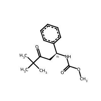 COC(=O)N[C@@H](CC(=O)C(C)(C)C)c1ccccc1